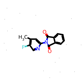 Cc1cc(N2C(=O)c3ccccc3C2=O)ncc1F